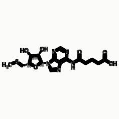 CSC[C@H]1O[C@@H](n2cnc3c(NC(=O)CCCC(=O)O)ncnc32)[C@@H](O)[C@@H]1O